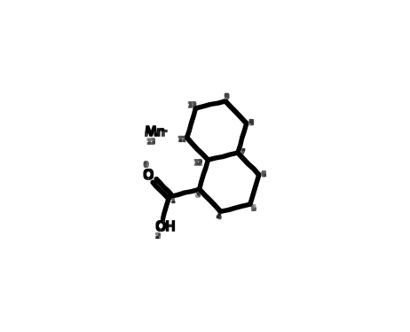 O=C(O)C1CCCC2CCCCC21.[Mn]